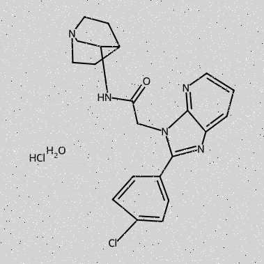 Cl.O.O=C(Cn1c(-c2ccc(Cl)cc2)nc2cccnc21)NC1CN2CCC1CC2